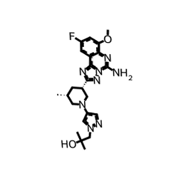 COc1cc(F)cc2c1nc(N)n1nc([C@H]3C[C@@H](C)CN(c4cnn(CC(C)(C)O)c4)C3)nc21